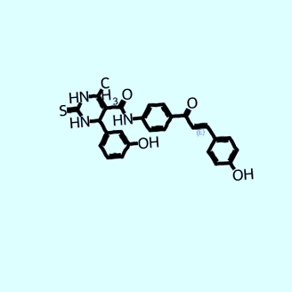 CC1=C(C(=O)Nc2ccc(C(=O)/C=C/c3ccc(O)cc3)cc2)C(c2cccc(O)c2)NC(=S)N1